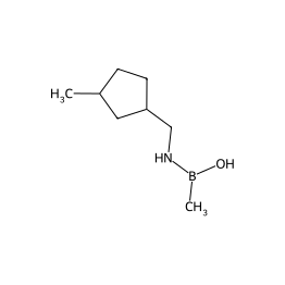 CB(O)NCC1CCC(C)C1